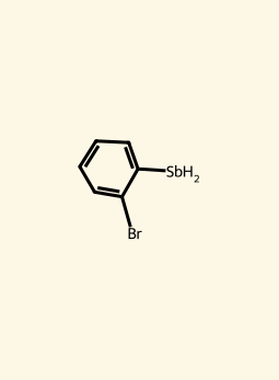 Brc1cccc[c]1[SbH2]